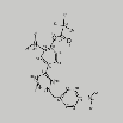 CN(C)c1ccc(Cn2nnc(-c3ccc(OC(=O)C(C)(C)C)c(N(C)C)c3)n2)cc1